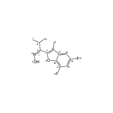 Cc1c(/C(=N\O)C(C)C)oc2c(F)cc(F)cc12